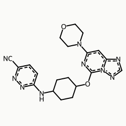 N#Cc1ccc(NC2CCC(Oc3nc(N4CCOCC4)cc4ncnn34)CC2)nn1